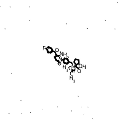 CC(C)C[C@@](NCc1ccc(-n2c(N)c(C(=O)c3ccc(F)cc3)ccc2=O)cc1)(C(=O)O)C1CCCC1